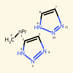 CCCC.c1c[nH]nn1.c1c[nH]nn1